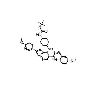 COc1ccc(-c2cc3c(N[C@H]4CC[C@H](NC(=O)OC(C)(C)C)CC4)c(/C(N)=N/c4ccc(O)cc4Cl)cnn3c2)cn1